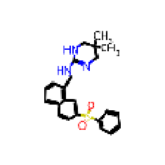 CC1(C)CN=C(NCc2cccc3ccc(S(=O)(=O)c4ccccc4)cc23)NC1